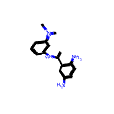 CC(Nc1cccc(N(C)C)c1)c1cc(N)ccc1N